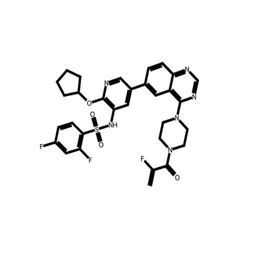 C=C(F)C(=O)N1CCN(c2ncnc3ccc(-c4cnc(OC5CCCC5)c(NS(=O)(=O)c5ccc(F)cc5F)c4)cc23)CC1